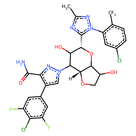 Cc1nc([C@@H]2OC3C(O)CO[C@@H]3C(n3cc(-c4cc(F)c(Cl)c(F)c4)c(C(N)=O)n3)C2O)n(-c2cc(Cl)ccc2C(F)(F)F)n1